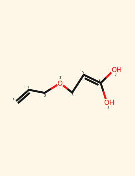 C=CCOCC=C(O)O